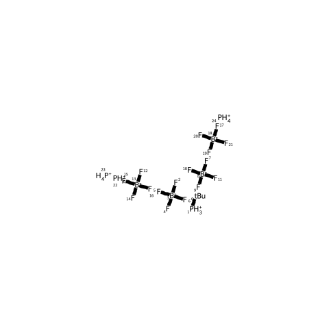 CC(C)(C)[PH3+].F[B-](F)(F)F.F[B-](F)(F)F.F[B-](F)(F)F.F[B-](F)(F)F.[PH4+].[PH4+].[PH4+]